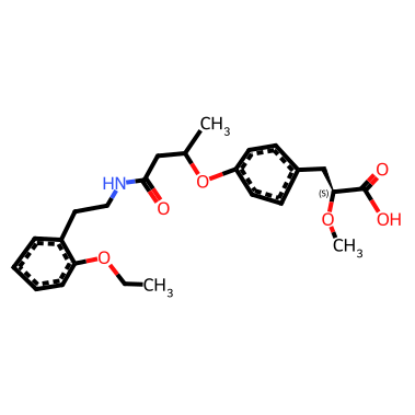 CCOc1ccccc1CCNC(=O)CC(C)Oc1ccc(C[C@H](OC)C(=O)O)cc1